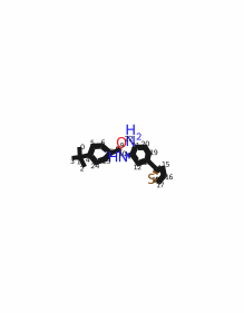 CC(C)(C)c1ccc(C(=O)Nc2cc(-c3cccs3)ccc2N)cc1